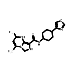 CC1=CC(C)NC2=C(C(=O)NC3CCC(c4cocn4)CC3)NCN12